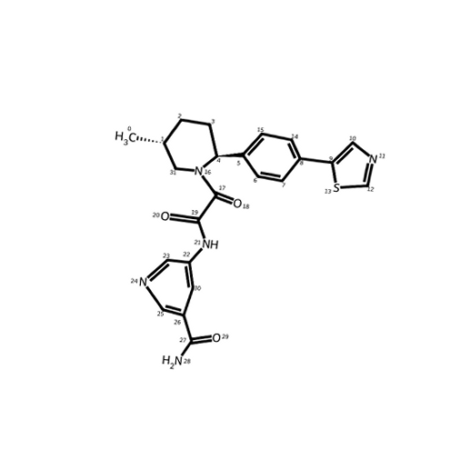 C[C@@H]1CC[C@@H](c2ccc(-c3cncs3)cc2)N(C(=O)C(=O)Nc2cncc(C(N)=O)c2)C1